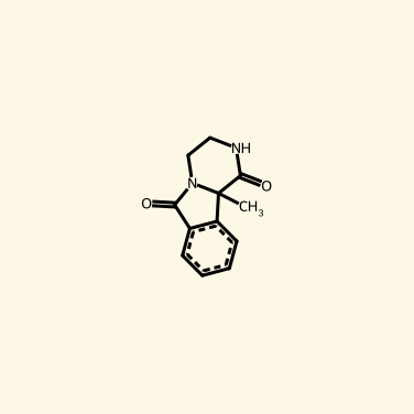 CC12C(=O)NCCN1C(=O)c1ccccc12